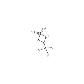 CC(C)(C)C1CS(=O)(=O)O1